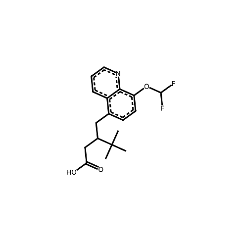 CC(C)(C)C(CC(=O)O)Cc1ccc(OC(F)F)c2ncccc12